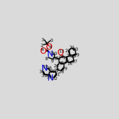 CC(C)(C)OC(=O)N1CCC(C2C(=O)c3c(ccc4ccccc34)C3=C2CCC=C3)C1.c1cnc2ccncc2c1